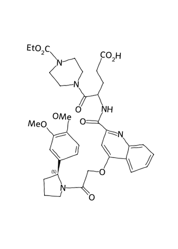 CCOC(=O)N1CCN(C(=O)C(CCC(=O)O)NC(=O)c2cc(OCC(=O)N3CCC[C@H]3c3ccc(OC)c(OC)c3)c3ccccc3n2)CC1